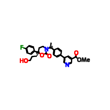 COC(=O)c1cncc(-c2ccc([C@H](C)N3CC[C@](CCCO)(c4ccc(F)cc4)OC3=O)cc2)c1